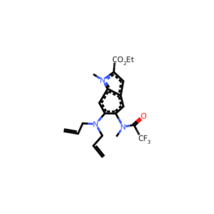 C=CCN(CC=C)c1cc2c(cc1N(C)C(=O)C(F)(F)F)cc(C(=O)OCC)n2C